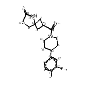 Cc1ccc(C2CCN(C(=O)C3CC4(COC(=O)N4)C3)CC2)cc1F